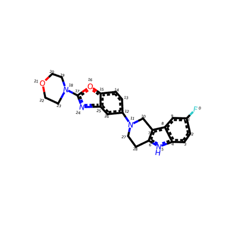 Fc1ccc2[nH]c3c(c2c1)CN(c1ccc2oc(N4CCOCC4)nc2c1)CC3